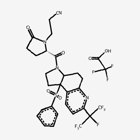 N#CCCN1C(=O)CC[C@H]1C(=O)N1CCC2(S(=O)(=O)c3ccccc3)c3ccc(C(F)(C(F)(F)F)C(F)(F)F)nc3CCC12.O=C(O)C(F)(F)F